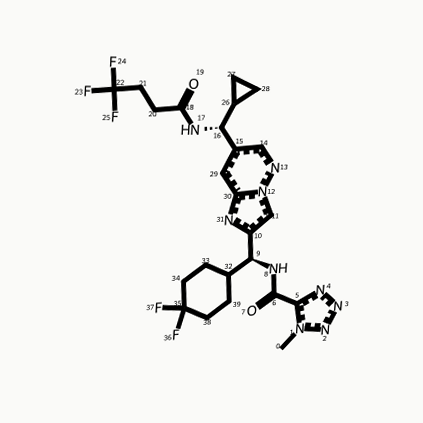 Cn1nnnc1C(=O)N[C@H](c1cn2ncc([C@H](NC(=O)CCC(F)(F)F)C3CC3)cc2n1)C1CCC(F)(F)CC1